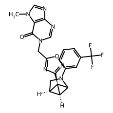 Cn1cnc2ncn(Cc3nc([C@@]45C6[C@H]4[C@H]5CN6c4cccc(C(F)(F)F)c4)no3)c(=O)c21